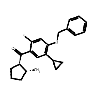 C[C@@H]1CCC[C@H]1C(=O)c1cc(C2CC2)c(OCc2ccccc2)cc1F